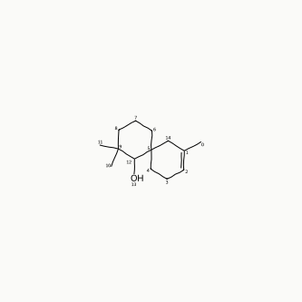 CC1=CCCC2(CCCC(C)(C)C2O)C1